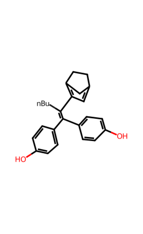 CCCCC(C1=C2CCC(=C1)C2)=C(c1ccc(O)cc1)c1ccc(O)cc1